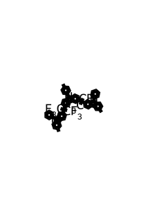 Cc1ccc(-n2c3ccc(C(c4ccc5c6cc(C)ccc6n(-c6ccccc6)c5c4)(C(F)(F)F)C(F)(F)F)cc3c3cc(C(c4ccc5c6cc(C)ccc6n(-c6ccccc6)c5c4)(C(F)(F)F)C(F)(F)F)ccc32)cc1